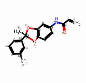 C=CC(=O)Nc1ccc2c(c1)O[C@@](C)(c1cccc(C(F)(F)F)c1)O2